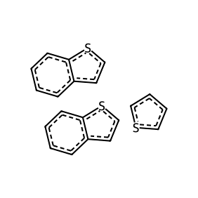 c1ccc2sccc2c1.c1ccc2sccc2c1.c1ccsc1